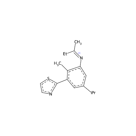 CC/C(C)=N\c1cc(C(C)C)cc(-c2nccs2)c1C